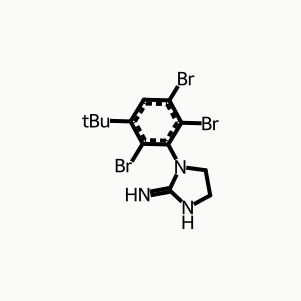 CC(C)(C)c1cc(Br)c(Br)c(N2CCNC2=N)c1Br